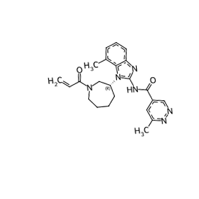 C=CC(=O)N1CCCC[C@@H](n2c(NC(=O)c3cnnc(C)c3)nc3cccc(C)c32)C1